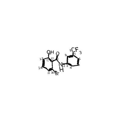 O=C(Nc1cccc(C(F)(F)F)c1)c1c(O)cccc1Br